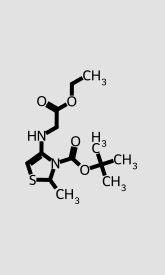 CCOC(=O)CNC1=CSC(C)N1C(=O)OC(C)(C)C